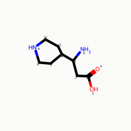 NC(CC(=O)O)C1CCNCC1